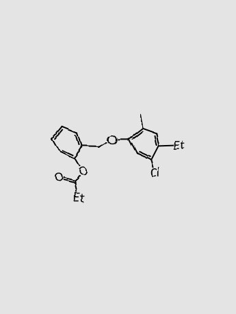 CCC(=O)Oc1ccccc1COc1cc(Cl)c(CC)cc1C